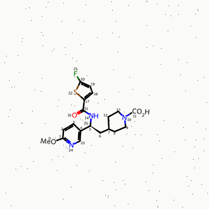 COc1ccc([C@H](CC2CCN(C(=O)O)CC2)NC(=O)c2ccc(F)s2)cn1